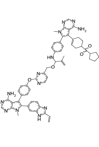 C=Cc1nc2ccc(-c3c(-c4ccc(Oc5nccc(COC(Nc6ccc(-c7c(C8=CCC(S(=O)(=O)C9CCCC9)CC8)c8c(N)ncnc8n7C)cc6)C(=C)C)n5)cc4)c4c(N)ncnc4n3C)cc2[nH]1